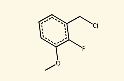 COc1cccc(CCl)c1F